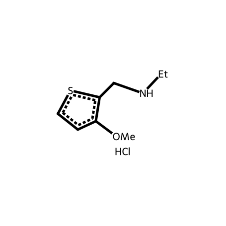 CCNCc1sccc1OC.Cl